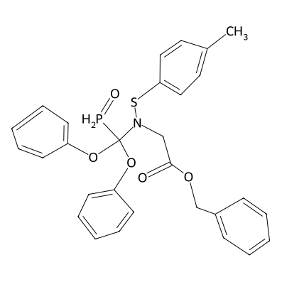 Cc1ccc(SN(CC(=O)OCc2ccccc2)C(Oc2ccccc2)(Oc2ccccc2)[PH2]=O)cc1